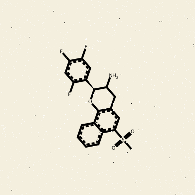 CS(=O)(=O)c1cc2c(c3ccccc13)O[C@@H](c1cc(F)c(F)cc1F)C(N)C2